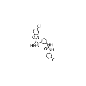 O=C(Nc1cccc(Cl)c1)Nc1cccc(-c2n[nH]cc2-c2nc3cc(Cl)ccc3o2)c1